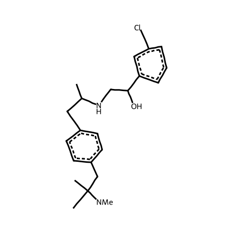 CNC(C)(C)Cc1ccc(CC(C)NCC(O)c2cccc(Cl)c2)cc1